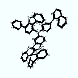 c1ccc(-c2ccc(N(c3ccc(-c4cccc5ccccc45)cc3)c3ccc4sc5c(c4c3)Oc3ccccc3C53c4ccccc4-c4ccccc43)c3c2oc2ccccc23)cc1